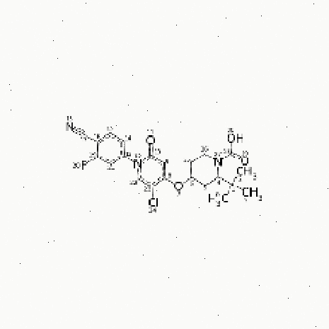 CC(C)(C)C1CC(Oc2cc(=O)n(-c3ccc(C#N)c(F)c3)cc2Cl)CCN1C(=O)O